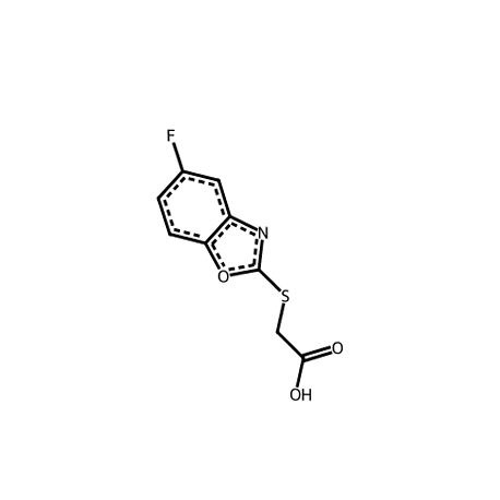 O=C(O)CSc1nc2cc(F)ccc2o1